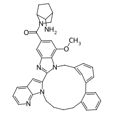 COc1cc(C(=O)N2CC3CCC2C3N)cc2nc3n(c12)Cc1cccc(c1)-c1ccccc1CCCCn1c-3cc2cccnc21